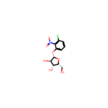 O=[N+]([O-])c1c(Cl)cccc1O[C@@H]1O[C@H](CO)[C@H](O)[C@H]1O